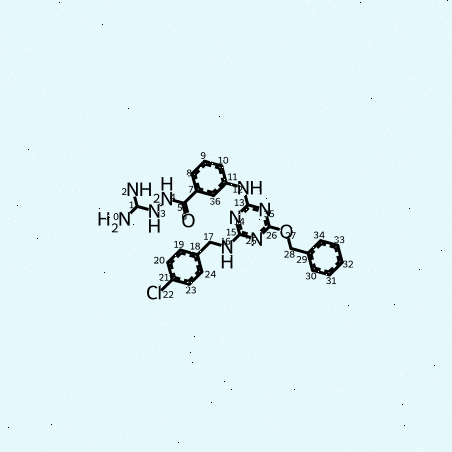 NC(N)NNC(=O)c1cccc(Nc2nc(NCc3ccc(Cl)cc3)nc(OCc3ccccc3)n2)c1